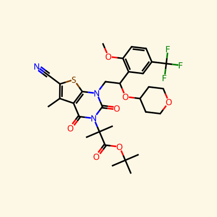 COc1ccc(C(F)(F)F)cc1C(Cn1c(=O)n(C(C)(C)C(=O)OC(C)(C)C)c(=O)c2c(C)c(C#N)sc21)OC1CCOCC1